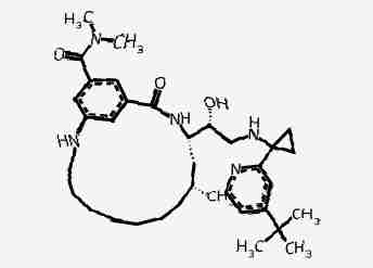 C[C@@H]1CCCCCCCNc2cc(cc(C(=O)N(C)C)c2)C(=O)N[C@H]([C@H](O)CNC2(c3cc(C(C)(C)C)ccn3)CC2)C1